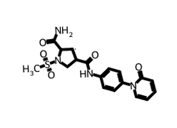 CS(=O)(=O)N1CC(C(=O)Nc2ccc(-n3ccccc3=O)cc2)[CH]C1C(N)=O